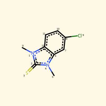 Cn1c(=S)n(C)c2cc(Cl)ccc21